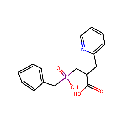 O=C(O)C(Cc1ccccn1)CP(=O)(O)Cc1ccccc1